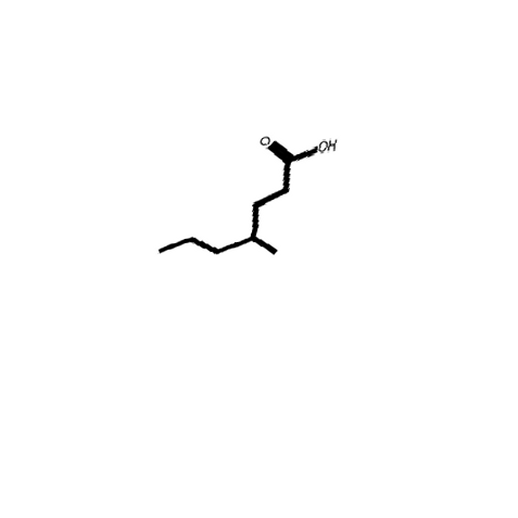 CCCC(C)CCC(=O)O